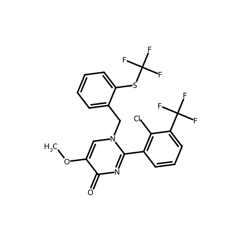 COc1cn(Cc2ccccc2SC(F)(F)F)c(-c2cccc(C(F)(F)F)c2Cl)nc1=O